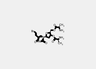 C[C@H](N)C(=O)OC[C@@H]1O[C@H](n2cc(/C=C/Br)c(=O)[nH]c2=O)CC1OC(=O)[C@H](C)N